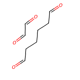 O=CC=O.O=CCCCCC=O